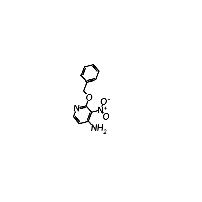 Nc1ccnc(OCc2ccccc2)c1[N+](=O)[O-]